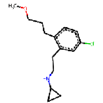 COCCCc1ccc(Cl)cc1CCNC1CC1